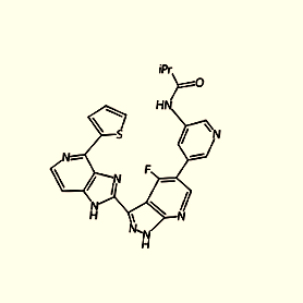 CC(C)C(=O)Nc1cncc(-c2cnc3[nH]nc(-c4nc5c(-c6cccs6)nccc5[nH]4)c3c2F)c1